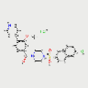 COc1cc(C(=O)N2CCN(S(=O)(=O)c3ccc4cc(Cl)ccc4c3)CC2)ccc1-c1ccncc1.Cl